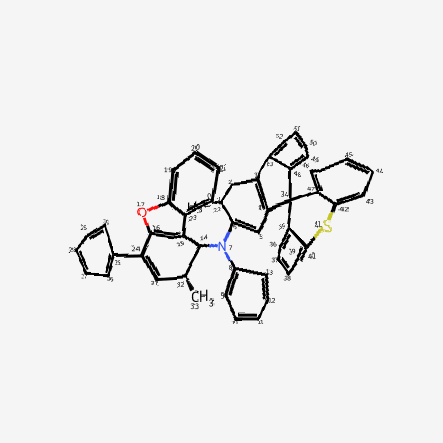 CC1CC2=C(C=C1N(c1ccccc1)C1c3c(oc4ccccc34)C(c3ccccc3)=C[C@@H]1C)C1(c3ccccc3Sc3ccccc31)c1ccccc12